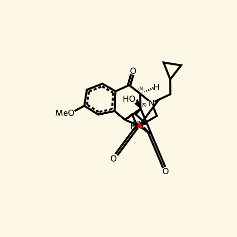 COc1ccc2c(c1)C13CCN(CC4CC4)[C@H](C2=O)[C@]1(O)CCNC(=O)NC(=O)C3